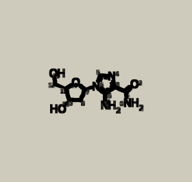 NC(=O)c1ncn([C@H]2C[C@H](O)[C@@H](CO)O2)c1N